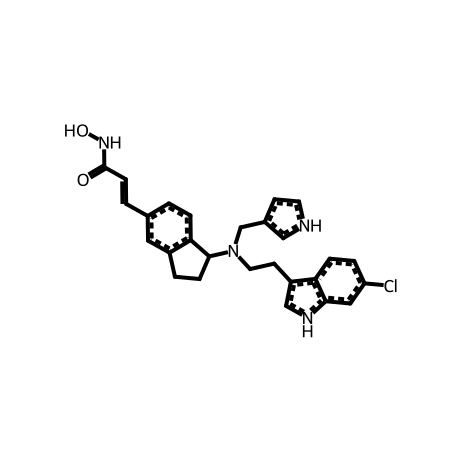 O=C(/C=C/c1ccc2c(c1)CCC2N(CCc1c[nH]c2cc(Cl)ccc12)Cc1cc[nH]c1)NO